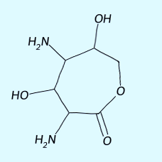 NC1C(=O)OCC(O)C(N)C1O